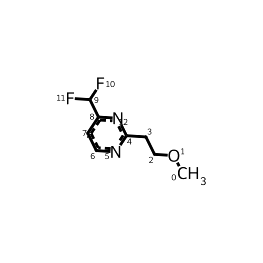 COCCc1nc[c]c(C(F)F)n1